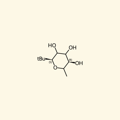 CC1O[C@@H](C(C)(C)C)C(O)C(O)[C@H]1O